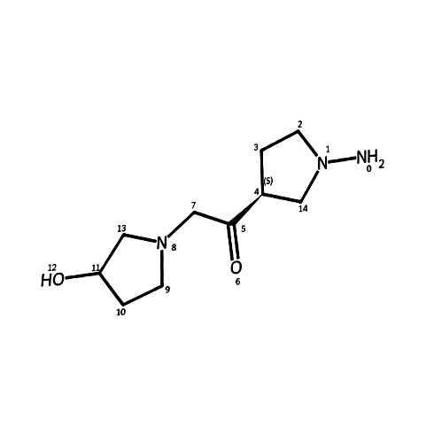 NN1CC[C@H](C(=O)CN2CCC(O)C2)C1